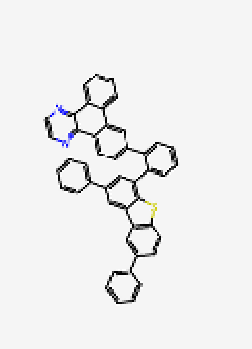 c1ccc(-c2ccc3sc4c(-c5ccccc5-c5ccc6c(c5)c5ccccc5c5nccnc65)cc(-c5ccccc5)cc4c3c2)cc1